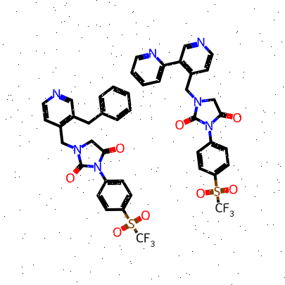 O=C1CN(Cc2ccncc2-c2ccccn2)C(=O)N1c1ccc(S(=O)(=O)C(F)(F)F)cc1.O=C1CN(Cc2ccncc2Cc2ccccc2)C(=O)N1c1ccc(S(=O)(=O)C(F)(F)F)cc1